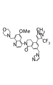 COc1cc(CN2CCOCC2)c2nccc(N3CCc4c(cc(Cn5ccnc5)cc4-c4cn(C)nc4C(F)(F)F)C3=O)c2c1